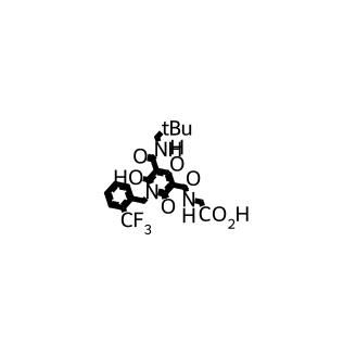 CC(C)(C)CNC(=O)c1c(O)c(C(=O)NCC(=O)O)c(=O)n(Cc2ccccc2C(F)(F)F)c1O